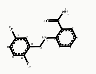 NC(=O)c1ccccc1NCc1cc(F)ccc1F